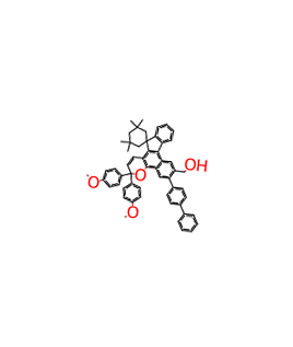 COc1ccc(C2(c3ccc(OC)cc3)C=Cc3c4c(c5cc(CO)c(-c6ccc(-c7ccccc7)cc6)cc5c3O2)-c2ccccc2C42CC(C)(C)CC(C)(C)C2)cc1